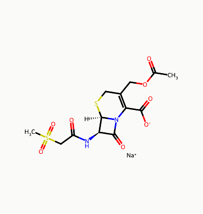 CC(=O)OCC1=C(C(=O)[O-])N2C(=O)[C@@H](NC(=O)CS(C)(=O)=O)[C@H]2SC1.[Na+]